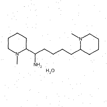 CN1CCCCC1CCCCC(N)C1CCCCN1C.O